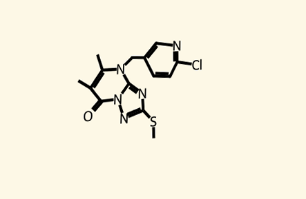 CSc1nc2n(Cc3ccc(Cl)nc3)c(C)c(C)c(=O)n2n1